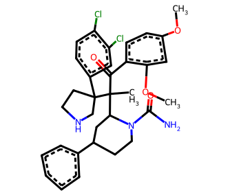 COc1ccc(C(=O)C(C)(C2CC(c3ccccc3)CCN2C(N)=O)C2(c3ccc(Cl)c(Cl)c3)CCNC2)c(OC)c1